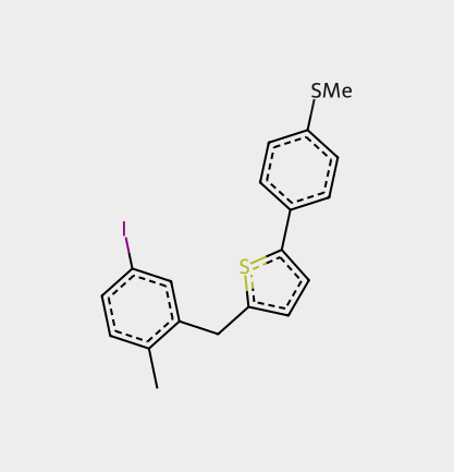 CSc1ccc(-c2ccc(Cc3cc(I)ccc3C)s2)cc1